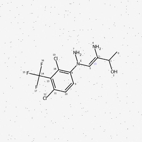 CC(O)/C(N)=C/N(N)c1ccc(Cl)c(C(F)(F)F)c1Cl